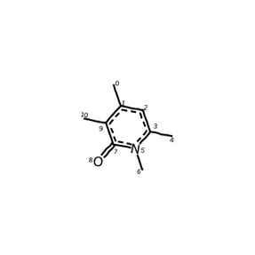 Cc1cc(C)n(C)c(=O)c1C